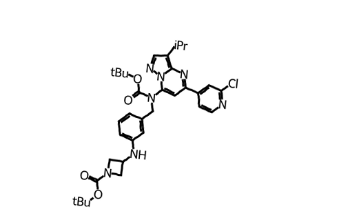 CC(C)c1cnn2c(N(Cc3cccc(NC4CN(C(=O)OC(C)(C)C)C4)c3)C(=O)OC(C)(C)C)cc(-c3ccnc(Cl)c3)nc12